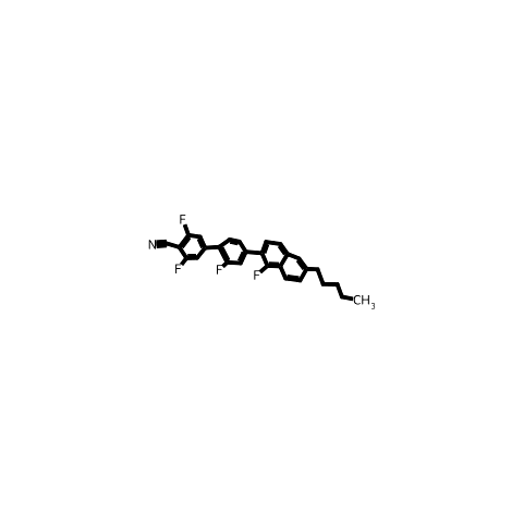 CCCCCc1ccc2c(F)c(-c3ccc(-c4cc(F)c(C#N)c(F)c4)c(F)c3)ccc2c1